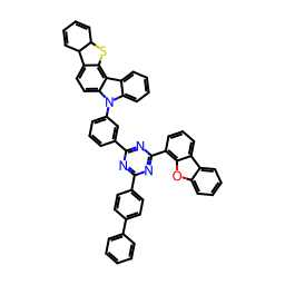 C1=CC2Sc3c(ccc4c3c3ccccc3n4-c3cccc(-c4nc(-c5ccc(-c6ccccc6)cc5)nc(-c5cccc6c5oc5ccccc56)n4)c3)C2C=C1